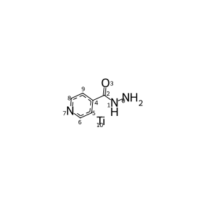 NNC(=O)c1ccncc1.[Ti]